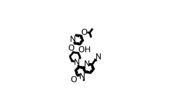 CC(C)Oc1ccc(O[C@H]2CCN(c3cc(=O)n(C)c4ccc(C#N)nc34)C[C@@H]2O)nc1